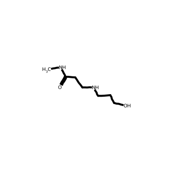 CNC(=O)CCNCCCO